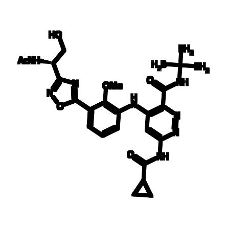 BC(B)(B)NC(=O)c1nnc(NC(=O)C2CC2)cc1Nc1cccc(-c2nc([C@@H](CO)NC(C)=O)no2)c1OC